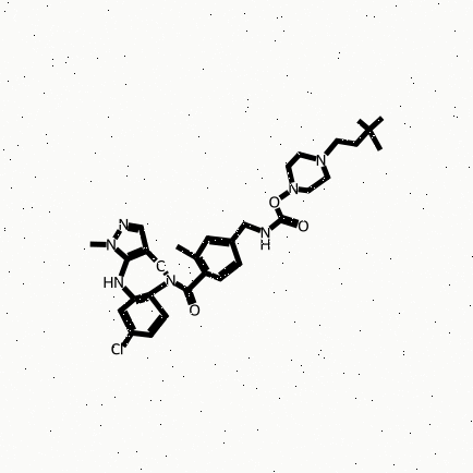 Cc1cc(CNC(=O)ON2CCN(CCC(C)(C)C)CC2)ccc1C(=O)N1Cc2cnn(C)c2Nc2cc(Cl)ccc21